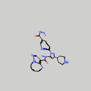 NC(=O)c1ccc(-n2nc(C3CCNCC3)cc2NC(=O)c2cnn3cccnc23)nc1